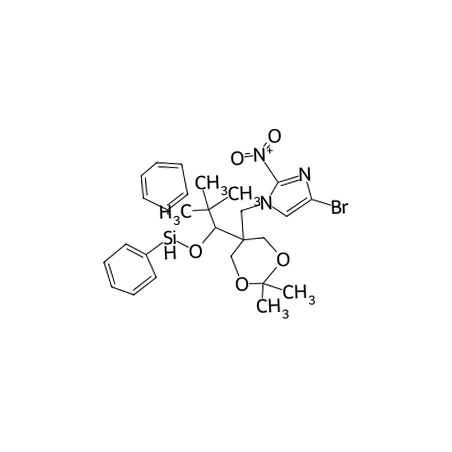 CC1(C)OCC(Cn2cc(Br)nc2[N+](=O)[O-])(C(O[SiH](c2ccccc2)c2ccccc2)C(C)(C)C)CO1